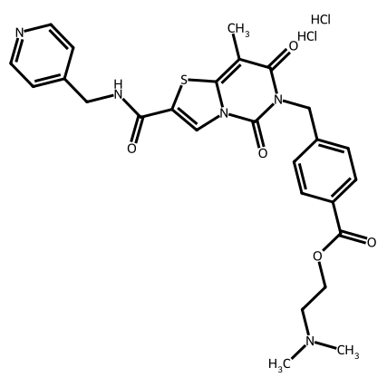 Cc1c(=O)n(Cc2ccc(C(=O)OCCN(C)C)cc2)c(=O)n2cc(C(=O)NCc3ccncc3)sc12.Cl.Cl